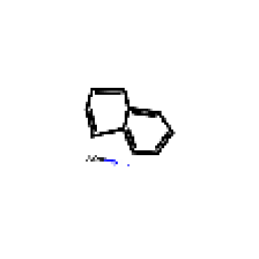 CC(N)=O.c1ccc2ccccc2c1